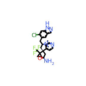 CN(C)C(Cc1cc2cn[nH]c2cc1Cl)C[C@](CC(N)=O)(c1ccncc1)C1(C(F)(F)F)CC1